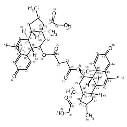 CC1C[C@H]2[C@@H]3C=C(F)C4=CC(=O)C=C[C@]4(C)[C@H]3C(OC(=O)CCC(=O)OC3C[C@]4(C)[C@@H](C(=O)CO)C(C)C[C@H]4[C@@H]4C=C(F)C5=CC(=O)C=C[C@]5(C)[C@@H]34)C[C@]2(C)[C@H]1C(=O)CO